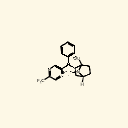 CC(C)(C)C12CC[C@H](C[C@H]1N(c1ccccc1)c1cnc(C(F)(F)F)cn1)N2C(=O)O